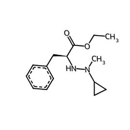 CCOC(=O)[C@H](Cc1ccccc1)NN(C)C1CC1